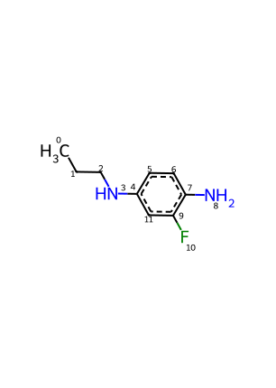 CCCNc1ccc(N)c(F)c1